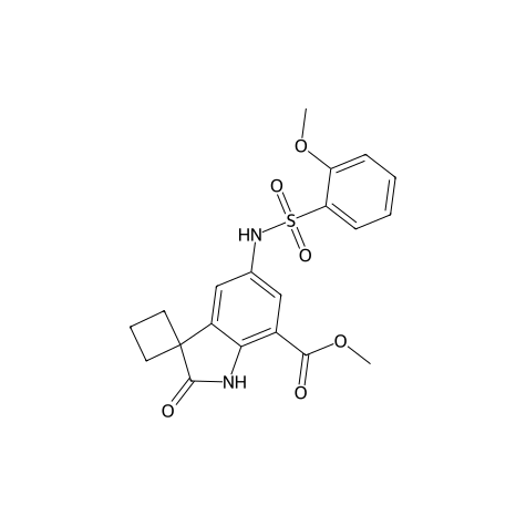 COC(=O)c1cc(NS(=O)(=O)c2ccccc2OC)cc2c1NC(=O)C21CCC1